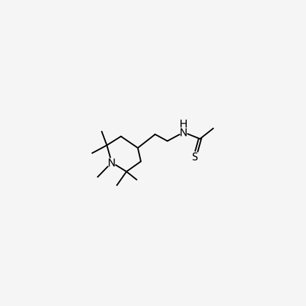 CC(=S)NCCC1CC(C)(C)N(C)C(C)(C)C1